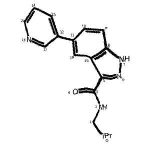 CC(C)CNC(=O)c1n[nH]c2ccc(-c3cccnc3)cc12